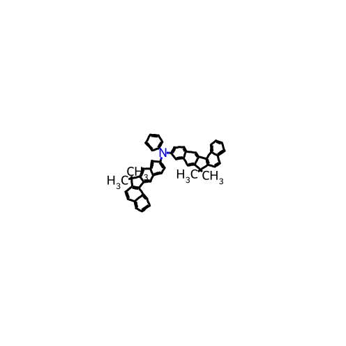 CC1(C)c2cc3cc(N(c4ccccc4)c4ccc5cc6c(cc5c4)C(C)(C)c4ccc5ccccc5c4-6)ccc3cc2-c2c1ccc1ccccc21